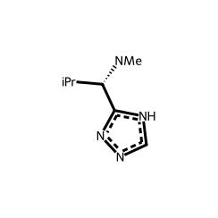 CN[C@H](c1nnc[nH]1)C(C)C